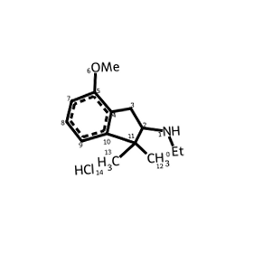 CCNC1Cc2c(OC)cccc2C1(C)C.Cl